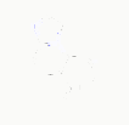 C=Cc1ccc2nccn2c1/C=C\C